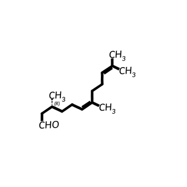 CC(C)=CCCC(C)=CCC[C@@H](C)CC=O